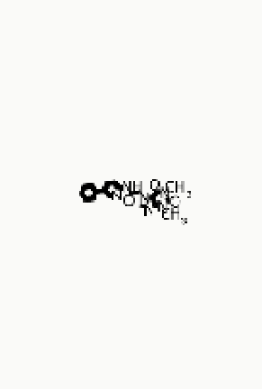 Cn1c(=O)c2c(ncn2CC(=O)Nc2ccc(-c3ccccc3)cn2)n(C)c1=O